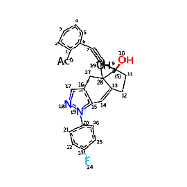 CC(=O)c1ccccc1C#C[C@]1(O)CCC2=Cc3c(cnn3-c3ccc(F)cc3)CC21C